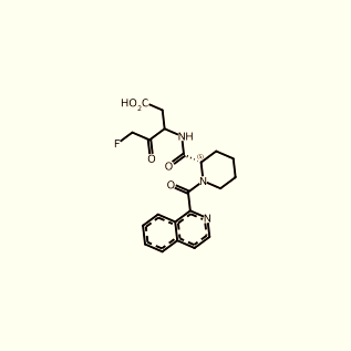 O=C(O)CC(NC(=O)[C@@H]1CCCCN1C(=O)c1nccc2ccccc12)C(=O)CF